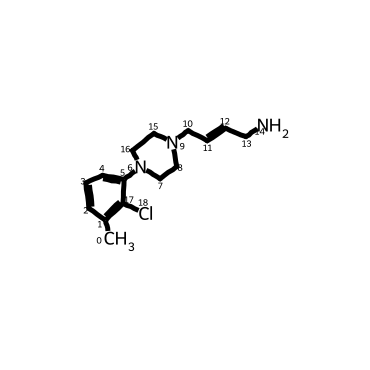 Cc1cccc(N2CCN(C/C=C/CN)CC2)c1Cl